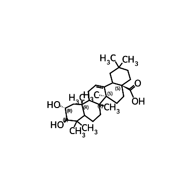 CC1(C)CC[C@]2(C(=O)O)CC[C@]3(C)C(=CCC4[C@@]5(C)C[C@@H](O)[C@H](O)C(C)(C)C5CC[C@]43C)C2C1